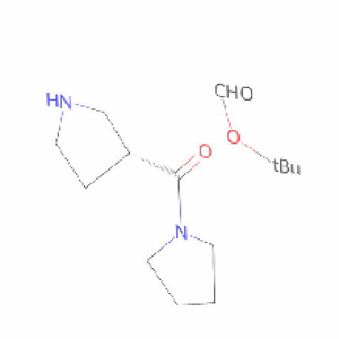 CC(C)(C)OC=O.O=C([C@@H]1CCNC1)N1CCCC1